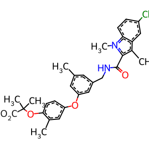 Cc1cc(CNC(=O)c2c(C)c3cc(Cl)ccc3n2C)cc(Oc2ccc(OC(C)(C)C(=O)O)c(C)c2)c1